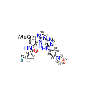 COc1cc(NC(=O)c2cccc(CF)c2)cc(Nc2nccn2-c2cc(Nc3ccc(N4CCOCC4)cc3)ncn2)c1